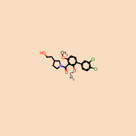 COc1ccc(-c2ccc(Cl)c(Cl)c2)c(OC)c1C(=O)N1CCC(CCO)C1